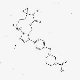 CCCC1(N(C)C(=O)OCc2c(-c3ccc(O[C@H]4CCC[C@H](C(=O)O)C4)cc3)nnn2C)CC1